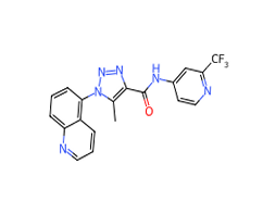 Cc1c(C(=O)Nc2ccnc(C(F)(F)F)c2)nnn1-c1cccc2ncccc12